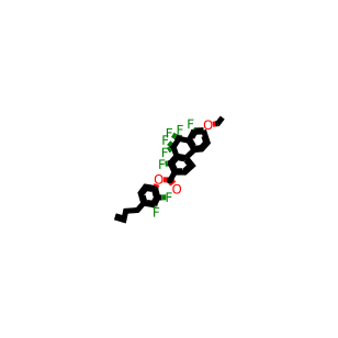 C=CCCc1ccc(OC(=O)c2ccc3c(c2F)C(F)(F)C(F)(F)c2c-3ccc(OCC)c2F)c(F)c1F